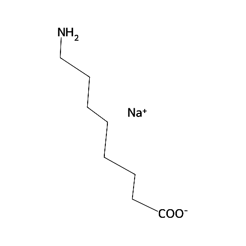 NCCCCCCCC(=O)[O-].[Na+]